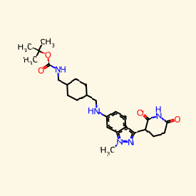 Cn1nc(C2CCC(=O)NC2=O)c2ccc(NCC3CCC(CNC(=O)OC(C)(C)C)CC3)cc21